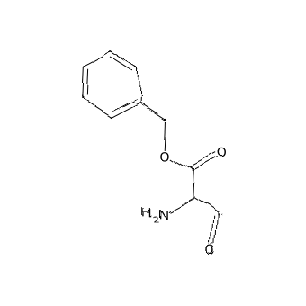 NC([C]=O)C(=O)OCc1ccccc1